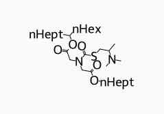 CCCCCCCOC(=O)CN(CC(=O)OC(CCCCCC)CCCCCCC)C(=O)SCC(C)N(C)C